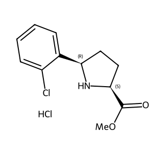 COC(=O)[C@@H]1CC[C@H](c2ccccc2Cl)N1.Cl